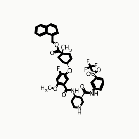 COc1cc(F)c(O[C@H]2CC[C@@](C)(C(=O)OCc3cccc4ccccc34)CC2)cc1C(=O)N[C@@H]1CCNC[C@@H]1C(=O)Nc1cccc(S(=O)(=O)C(F)(F)F)c1